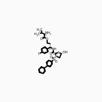 CC(C)[C@H](N)C(=O)OCC[C@H](NC(=O)[C@@H]1SCCN1S(=O)(=O)c1ccc(-c2ccccc2)cc1)c1ccc(F)cc1.Cl